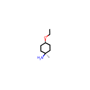 CCO[C@H]1CC[C@@](C)(N)CC1